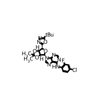 CC1(C)O[C@@H]2[C@H](O1)[C@H](n1cnc3c(Nc4ccc(Cl)cc4F)ncnc31)O[C@@H]2c1nnc(C(C)(C)C)o1